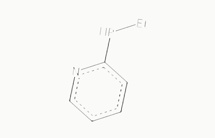 CCPc1ccccn1